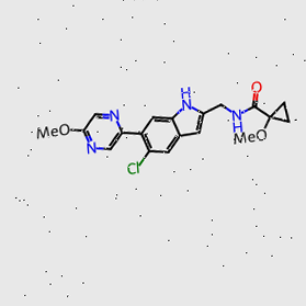 COc1cnc(-c2cc3[nH]c(CNC(=O)C4(OC)CC4)cc3cc2Cl)cn1